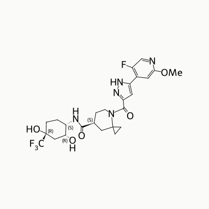 COc1cc(-c2cc(C(=O)N3CC[C@H](C(=O)N[C@H]4CC[C@](O)(C(F)(F)F)C[C@H]4O)CC34CC4)n[nH]2)c(F)cn1